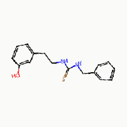 Oc1cccc(CCNC(=S)NCc2ccccc2)c1